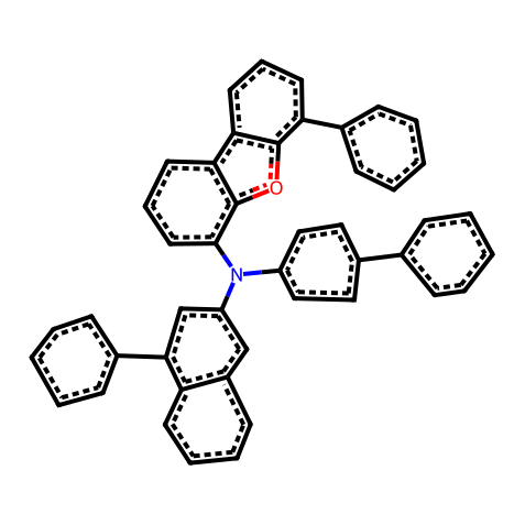 c1ccc(-c2ccc(N(c3cc(-c4ccccc4)c4ccccc4c3)c3cccc4c3oc3c(-c5ccccc5)cccc34)cc2)cc1